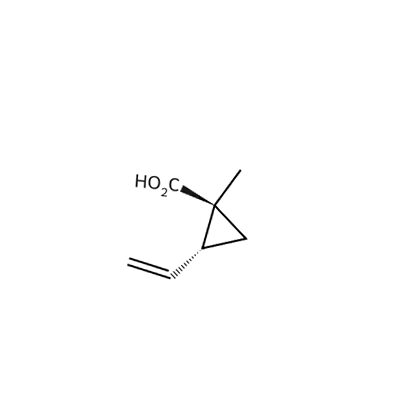 C=C[C@H]1C[C@]1(C)C(=O)O